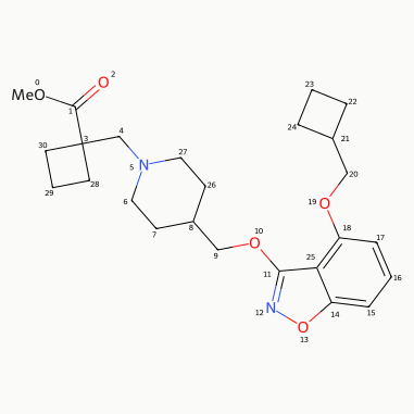 COC(=O)C1(CN2CCC(COc3noc4cccc(OCC5CCC5)c34)CC2)CCC1